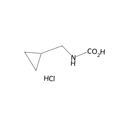 Cl.O=C(O)NCC1CC1